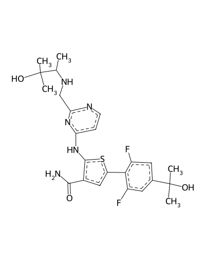 CC(NCc1nccc(Nc2sc(-c3c(F)cc(C(C)(C)O)cc3F)cc2C(N)=O)n1)C(C)(C)O